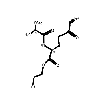 CCOCOC(=O)[C@H](CCC(=O)C=N)NC(=O)[C@@H](C)OC